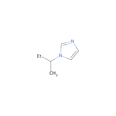 CCC(C)n1ccnc1